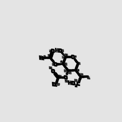 CCC(=O)O[C@H]1[C@H](O)OCC(C(C)C(=O)O)[C@@H]1OC(=O)CC